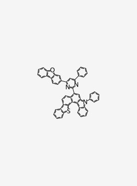 c1ccc(-c2cc(-c3ccc4c(c3)oc3ccccc34)nc(-c3cc4c(c5ccccc5n4-c4ccccc4)c4c3ccc3c5ccccc5sc34)n2)cc1